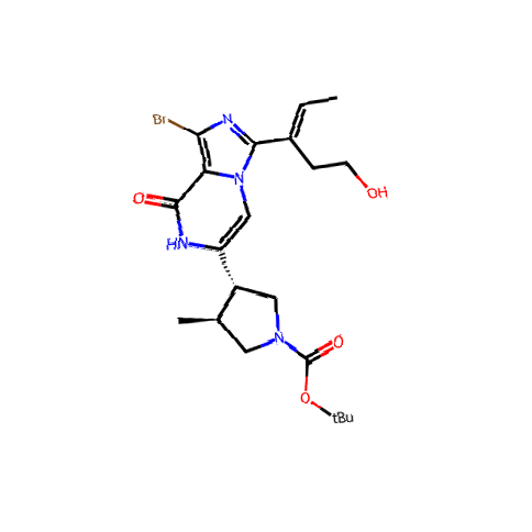 C/C=C(\CCO)c1nc(Br)c2c(=O)[nH]c([C@@H]3CN(C(=O)OC(C)(C)C)C[C@H]3C)cn12